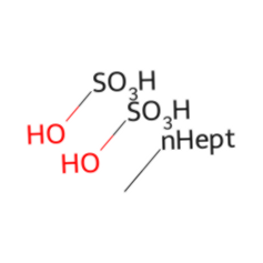 CCCCCCCC.O=S(=O)(O)O.O=S(=O)(O)O